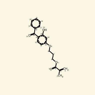 C=C(C)C(=O)OCCCOc1ccc(C(=O)c2ccccc2)c(O)c1